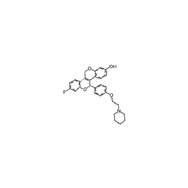 Oc1ccc2c(c1)OCC1=C2C(c2ccc(OCCN3CCCCC3)cc2)Oc2cc(F)ccc21